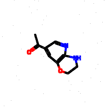 CC(=O)c1cnc2c(c1)OCCN2